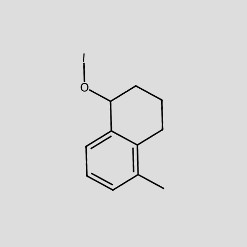 Cc1cccc2c1CCCC2OI